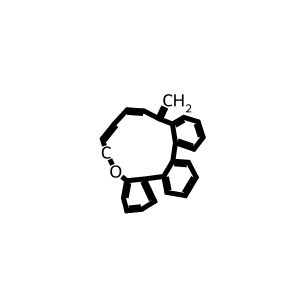 C=C1/C=C\C=C/COc2ccccc2-c2ccccc2-c2ccccc21